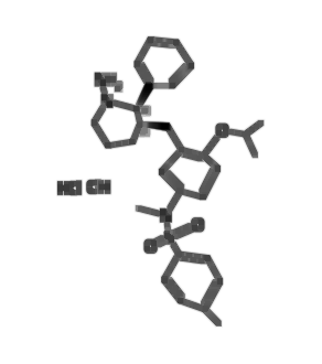 Cc1ccc(S(=O)(=O)N(C)c2ccc(OC(C)C)c(C[C@H]3CCCN(N)[C@H]3c3ccccc3)c2)cc1.Cl.Cl